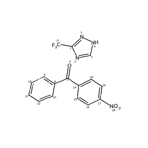 FC(F)(F)c1nc[nH]n1.O=C(c1ccccc1)c1ccc([N+](=O)[O-])cc1